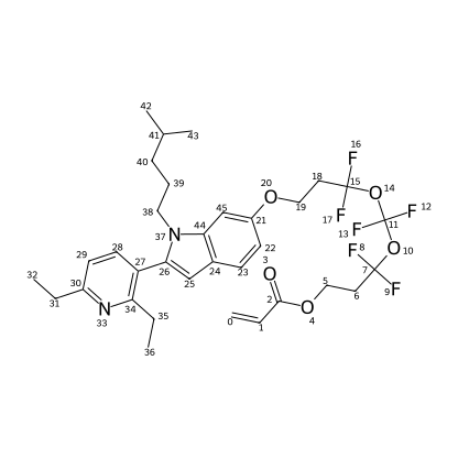 C=CC(=O)OCCC(F)(F)OC(F)(F)OC(F)(F)CCOc1ccc2cc(-c3ccc(CC)nc3CC)n(CCCC(C)C)c2c1